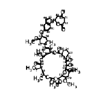 CCC1/C=C(\C)CC(C)CC(OC)C2OC(O)(C(=O)C(=O)N3CCCCC3C(=O)OC(C(C)=CC3CCC(Oc4ccc5c(ccn5C5CC(=O)CCC(=O)O5)c4)C(OC)C3)C(C)C(O)CC1=O)C(C)CC2OC